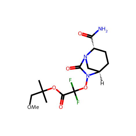 COCC(C)(C)OC(=O)C(F)(F)ON1C(=O)N2C[C@H]1CC[C@H]2C(N)=O